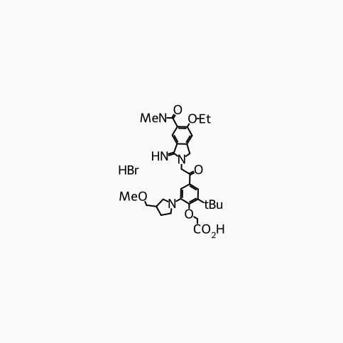 Br.CCOc1cc2c(cc1C(=O)NC)C(=N)N(CC(=O)c1cc(N3CCC(COC)C3)c(OCC(=O)O)c(C(C)(C)C)c1)C2